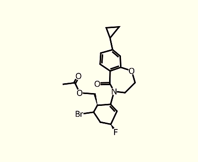 CC(=O)OC[C@H]1C(N2CCOc3cc(C4CC4)ccc3C2=O)=C[C@@H](F)CC1Br